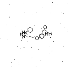 O=C1CNc2ccc(OCCCCc3nnnn3C3CCCCC3)cc2C1